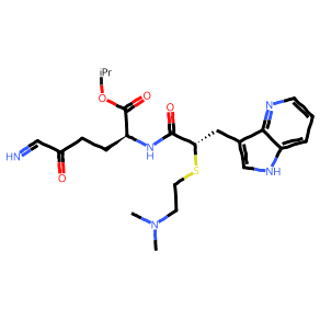 CC(C)OC(=O)[C@H](CCC(=O)C=N)NC(=O)[C@H](Cc1c[nH]c2cccnc12)SCCN(C)C